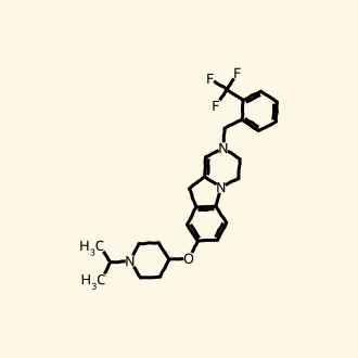 CC(C)N1CCC(Oc2ccc3c(c2)CC2=CN(Cc4ccccc4C(F)(F)F)CCN23)CC1